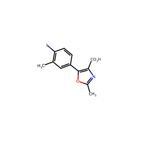 Cc1nc(C(=O)O)c(-c2ccc(I)c(C)c2)o1